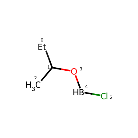 CCC(C)OBCl